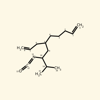 C=CCCCC(CC=C)CC(N=C=O)C(C)C